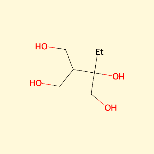 CCC(O)(CO)C(CO)CO